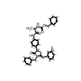 CC(NC(=O)OCc1ccccc1)C(=O)Nc1ccc(C2S/C(=N\c3cccc(F)c3)N(Cc3ccccn3)C2=O)cc1